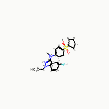 CN(c1ccc(S(=O)(=O)C2CCCC2)cc1)c1nn(CC(=O)O)c2ccc(F)cc12